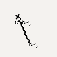 CC(C)(C)OC(=O)C(N)CCCCCCCCCN